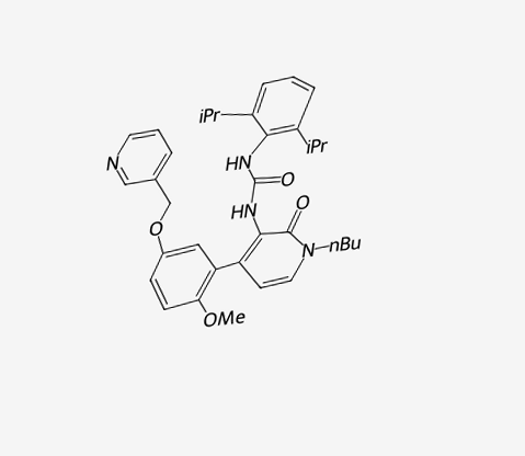 CCCCn1ccc(-c2cc(OCc3cccnc3)ccc2OC)c(NC(=O)Nc2c(C(C)C)cccc2C(C)C)c1=O